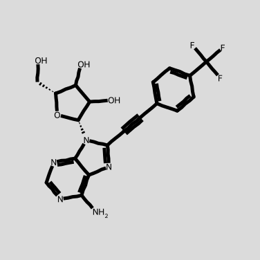 Nc1ncnc2c1nc(C#Cc1ccc(C(F)(F)F)cc1)n2[C@@H]1O[C@H](CO)C(O)C1O